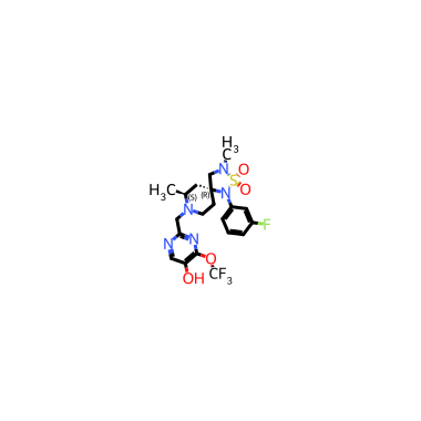 C[C@H]1C[C@]2(CCN1Cc1ncc(O)c(OC(F)(F)F)n1)CN(C)S(=O)(=O)N2c1cccc(F)c1